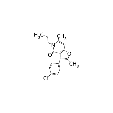 CCCn1c(C)cc2oc(C)c(-c3ccc(Cl)cc3)c2c1=O